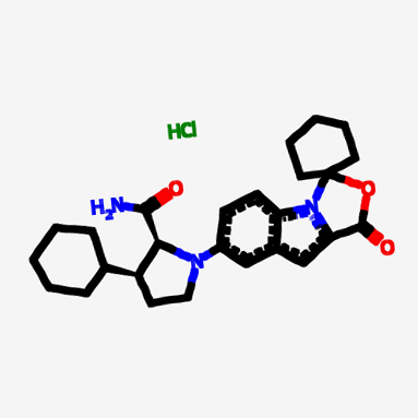 Cl.NC(=O)[C@@H]1[C@H](C2CCCCC2)CCN1c1ccc2c(c1)cc1n2C2(CCCCC2)OC1=O